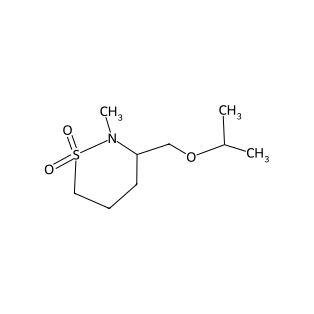 CC(C)OCC1CCCS(=O)(=O)N1C